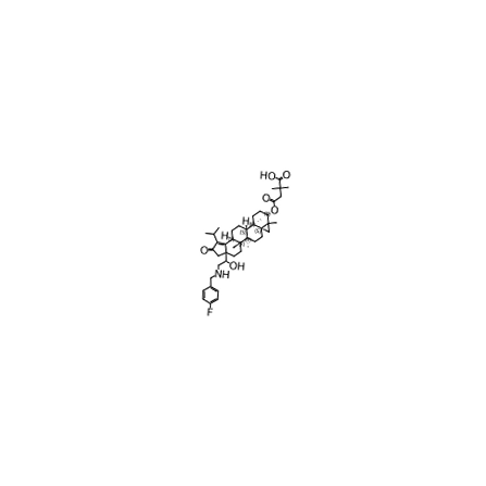 CC(C)C1=C2[C@H]3CC[C@@H]4[C@@]5(C)CC[C@H](OC(=O)CC(C)(C)C(=O)O)C6(C)C[C@]65CC[C@@]4(C)[C@]3(C)CCC2(C(O)CNCc2ccc(F)cc2)CC1=O